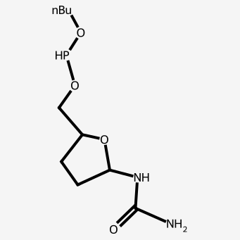 CCCCOPOCC1CCC(NC(N)=O)O1